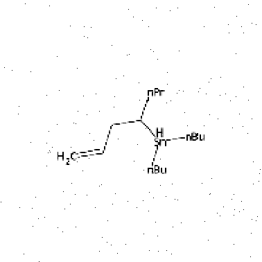 C=CC[CH](CCC)[SnH]([CH2]CCC)[CH2]CCC